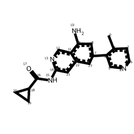 Cc1ccncc1-c1cc(N)c2cnc(NC(=O)C3CC3)cc2c1